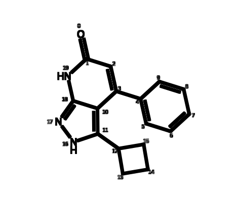 O=c1cc(-c2ccccc2)c2c(C3CCC3)[nH]nc2[nH]1